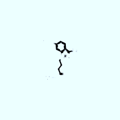 COC(=O)CCCn1nc(Br)c2ccc(OC(C)=O)cc21